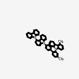 N#Cc1ccc(-c2ccc(-n3c4ccccc4c4c(-n5c6ccccc6c6ccccc65)cccc43)cc2)c(-n2c3ccccc3c3c(C#N)cccc32)c1